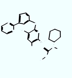 CN(C(=O)OC(C)(C)C)[C@H]1CCCC[C@H]1Nc1nc(Nc2cccc(-c3ncccn3)c2)c(C#N)cc1F